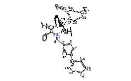 O=C(O)/C(=C/c1ccc(-c2ccccc2)o1)NC(=O)c1ccc(F)cc1F